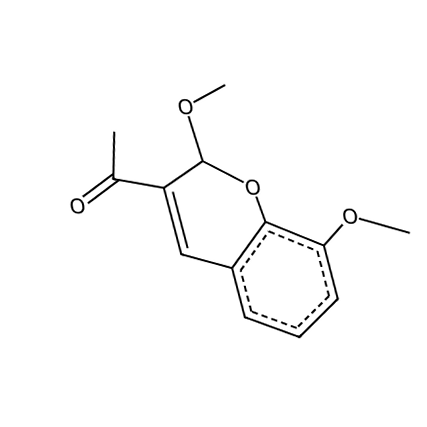 COc1cccc2c1OC(OC)C(C(C)=O)=C2